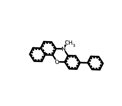 CN1c2cc(-c3ccccc3)ccc2Oc2c1ccc1ccccc21